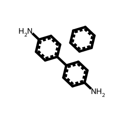 Nc1ccc(-c2ccc(N)cc2)cc1.c1ccccc1